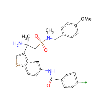 COc1ccc(CN(C)S(=O)(=O)C[C@](C)(N)c2csc3ccc(NC(=O)c4ccc(F)cc4)cc23)cc1